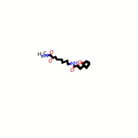 CNC(=O)C(=O)CCCCCCNC(=O)c1cc2ccccc2o1